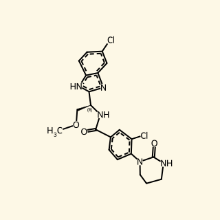 COC[C@H](NC(=O)c1ccc(N2CCCNC2=O)c(Cl)c1)c1nc2cc(Cl)ccc2[nH]1